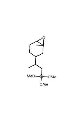 CO[Si](CC(C)C1CCC2OC2(C)C1)(OC)OC